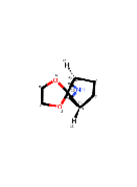 C1COC2(O1)[C@@H]1CC[C@H]2CNC1